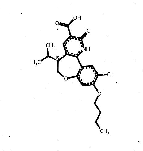 CCCCOc1cc2c(cc1Cl)-c1[nH]c(=O)c(C(=O)O)cc1[C@H](C(C)C)CO2